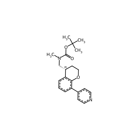 CN(C[C@@H]1CCOc2c(-c3ccncc3)cccc21)C(=O)OC(C)(C)C